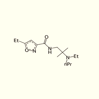 CCCN(CC)C(C)(C)CNC(=O)c1cc(CC)on1